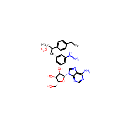 CC(C)Cc1ccc(C(C)C(=O)O)cc1.NNc1ccccc1.Nc1ncnc2c1ncn2[C@@H]1O[C@H](CO)[C@@H](O)[C@@H]1O.O